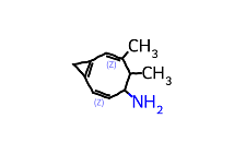 C/C1=C/C2=C(/C=C\C(N)C1C)C2